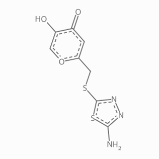 Nc1nnc(SCc2cc(=O)c(O)co2)s1